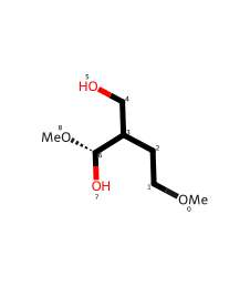 COCCC(CO)[C@H](O)OC